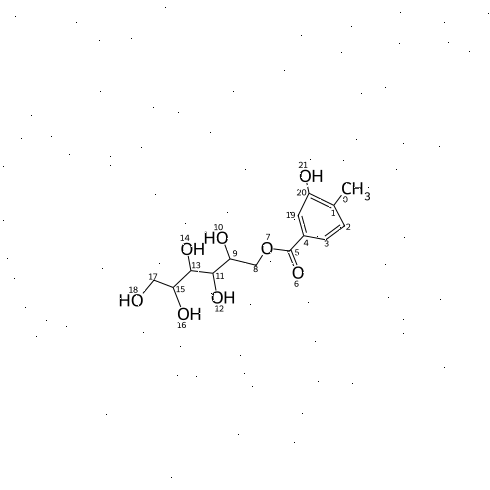 Cc1ccc(C(=O)OCC(O)C(O)C(O)C(O)CO)cc1O